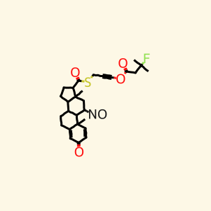 CC(C)(F)CC(=O)OC#CCSC(=O)C1CCC2C3CCC4=CC(=O)C=CC4(C)C3C(N=O)CC12C